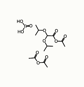 CC(=O)OC(=O)C(OC(C)C)OC(C)C.CC(=O)OC(C)=O.[O]=[Ti]([OH])[OH]